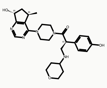 C[C@@H]1C[C@@H](O)c2ncnc(N3CCN(C(=O)[C@H](CNC4CCOCC4)c4ccc(O)cc4)CC3)c21